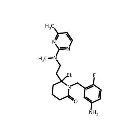 CCC1(CCN(C)c2nccc(C)n2)CCCC(=O)N1Cc1cc(N)ccc1F